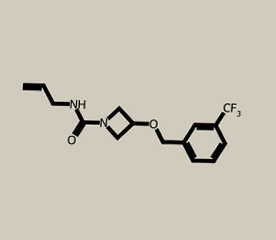 C=CCNC(=O)N1CC(OCc2cccc(C(F)(F)F)c2)C1